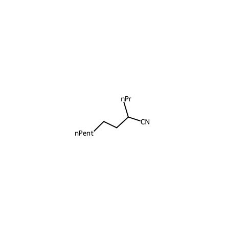 CCCCCCCC(C#N)CCC